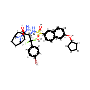 NC1CC2CCC(C1)N2C(=O)[C@@H](NS(=O)(=O)c1ccc2cc(OC3CCCC3)ccc2c1)C(F)(F)c1ccc(Br)cc1